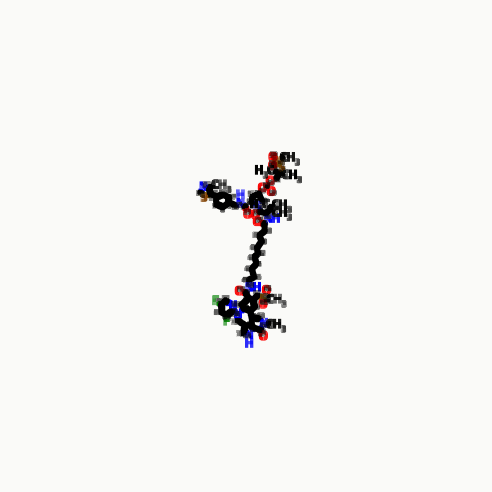 Cc1ncsc1-c1ccc(CNC(=O)[C@@H]2C[C@@H](OC(=O)OCC(C)(C)SS(C)(=O)=O)CN2C(=O)[C@@H](NC(=O)CCCCCCCCCCNC(=O)c2cc3c(cc2CS(C)(=O)=O)-c2cn(C)c(=O)c4[nH]cc(c24)CN3c2ncc(F)cc2F)C(C)(C)C)cc1